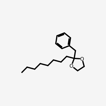 CCCCCCCCC1(Cc2ccccc2)OCCO1